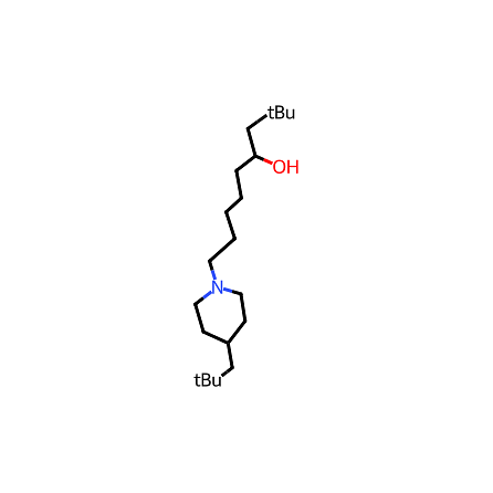 CC(C)(C)CC(O)CCCCCN1CCC(CC(C)(C)C)CC1